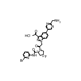 CC(=O)c1nn(CC(=O)N2C[C@H](F)C[C@H]2C(=O)Nc2cccc(Br)n2)c2ccc(-c3cnc(CN)nc3)cc12.Cl